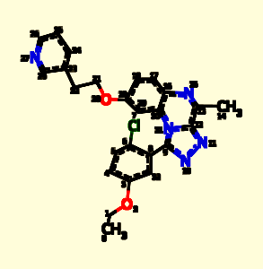 CCOc1ccc(Cl)c(-c2nnc3c(C)nc4ccc(OCCc5cccnc5)cc4n23)c1